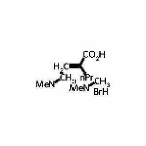 Br.C=C(CCC)C(=O)O.CNC.CNC